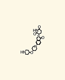 O=C1CCC(N2Cc3cc(N4CCC(OC5CCNCC5)CC4)ccc3C2=O)C(=O)N1